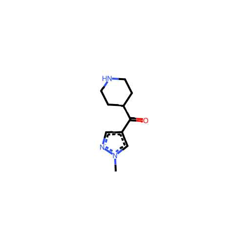 Cn1cc(C(=O)C2CCNCC2)cn1